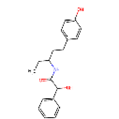 CCC(CCc1ccc(O)cc1)NC(=O)C(O)c1ccccc1